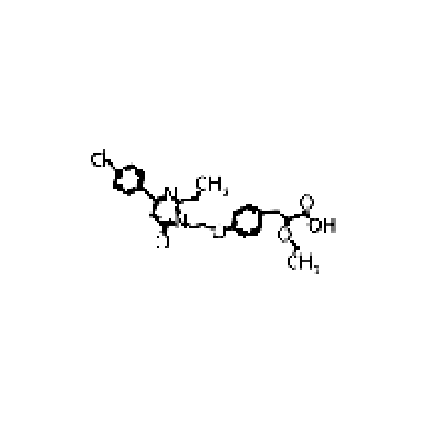 CCOC(Cc1ccc(OCCn2c(CC)nc(-c3ccc(Cl)cc3)cc2=O)cc1)C(=O)O